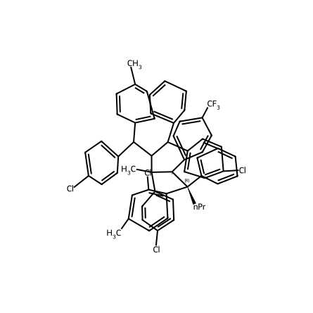 CCC[C@@]([C](c1ccc(C(F)(F)F)cc1)C(C)(c1ccc(Cl)cc1)C(C(c1ccccc1)c1ccc(Cl)cc1)C(c1ccc(C)cc1)c1ccc(Cl)cc1)(c1ccccc1)c1ccc(C)cc1Cl